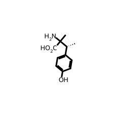 C[C@H](c1ccc(O)cc1)C(C)(N)C(=O)O